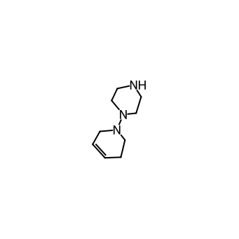 C1=CCN(N2CCNCC2)CC1